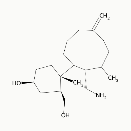 C=C1CCCC([C@@]2(C)CC[C@H](O)C[C@@H]2CO)[C@@H](CN)C(C)CC1